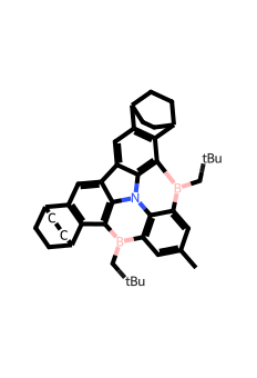 Cc1cc2c3c(c1)B(CC(C)(C)C)c1c4c(cc5c6cc7c(c(c6n-3c15)B2CC(C)(C)C)C1CCC7CC1)C1CCC4CC1